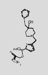 O=C(OB(O)c1ccc(CN2CCC(O)(Cc3ccccc3)CC2)s1)C(F)(F)F